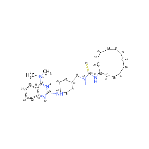 CN(C)c1nc(NC2CCC(CNC(=S)NC3CCCCCCCCCCC3)CC2)nc2ccccc12